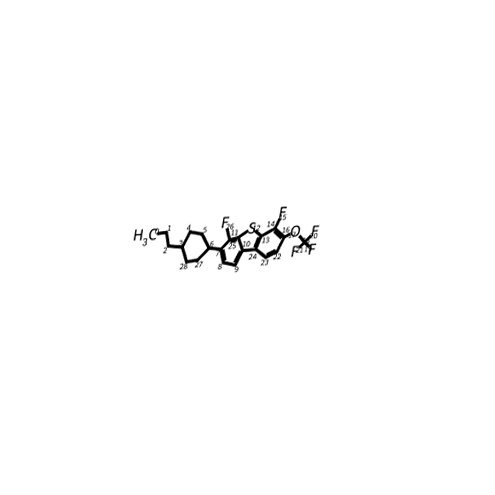 CCCC1CCC(c2ccc3c(sc4c(F)c(OC(F)(F)F)ccc43)c2F)CC1